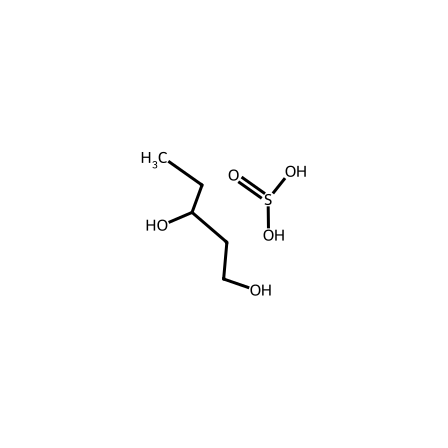 CCC(O)CCO.O=S(O)O